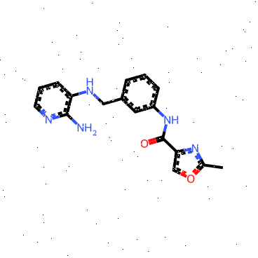 Cc1nc(C(=O)Nc2cccc(CNc3cccnc3N)c2)co1